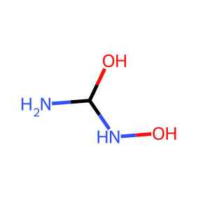 NC(O)NO